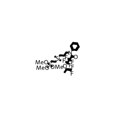 CO[Si](CC[Si](C)(C)CCCN(C(=O)C(F)(F)C(F)(F)OC(C)=C(F)F)c1ccccc1)(OC)OC